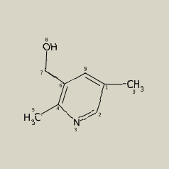 Cc1cnc(C)c(CO)c1